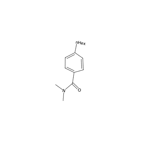 [CH2]CCCCCc1ccc(C(=O)N(C)C)cc1